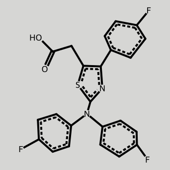 O=C(O)Cc1sc(N(c2ccc(F)cc2)c2ccc(F)cc2)nc1-c1ccc(F)cc1